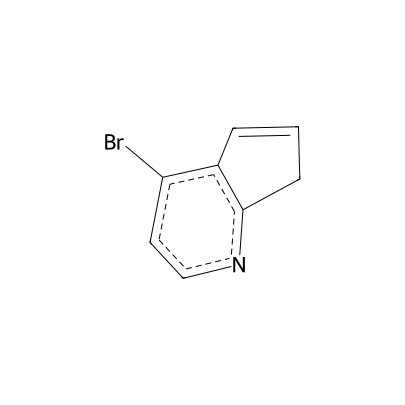 Brc1ccnc2c1C=CC2